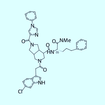 CNC(=O)[C@H](CCCc1ccccc1)NC(=O)C1CN(C(=O)Cc2c[nH]c3cc(Cl)ccc23)CC2CN(C(=O)c3cn(-c4ccccc4)cn3)CC21